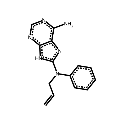 C=CCN(c1ccccc1)c1nc2c(N)ncnc2[nH]1